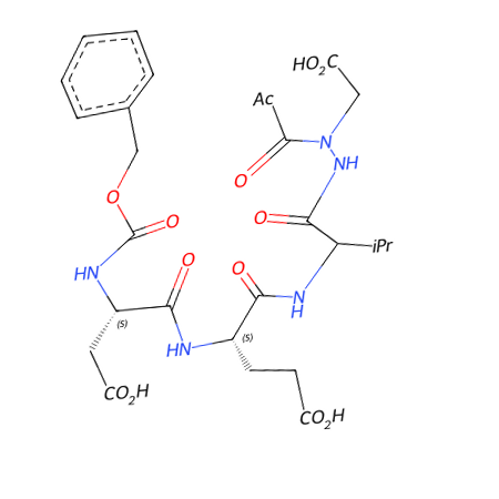 CC(=O)C(=O)N(CC(=O)O)NC(=O)C(NC(=O)[C@H](CCC(=O)O)NC(=O)[C@H](CC(=O)O)NC(=O)OCc1ccccc1)C(C)C